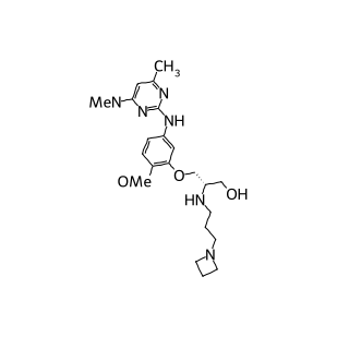 CNc1cc(C)nc(Nc2ccc(OC)c(OC[C@H](CO)NCCCN3CCC3)c2)n1